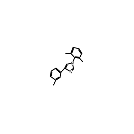 Cc1cccc(-c2cn(-c3c(C)cccc3C)cn2)c1